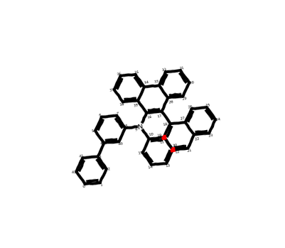 c1ccc(-c2cccc(N(c3ccccc3)c3c(-c4cccc5ccccc45)c4ccccc4c4ccccc34)c2)cc1